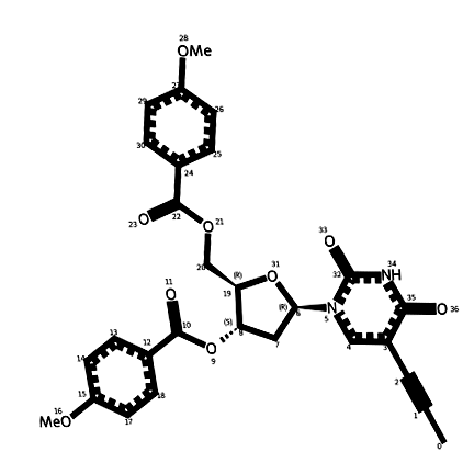 CC#Cc1cn([C@H]2C[C@H](OC(=O)c3ccc(OC)cc3)[C@@H](COC(=O)c3ccc(OC)cc3)O2)c(=O)[nH]c1=O